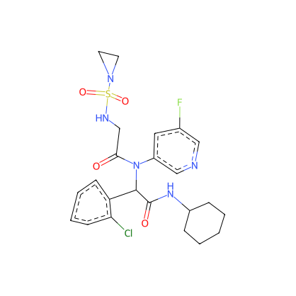 O=C(NC1CCCCC1)C(c1ccccc1Cl)N(C(=O)CNS(=O)(=O)N1CC1)c1cncc(F)c1